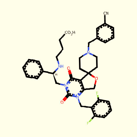 N#Cc1cccc(CN2CCC3(CC2)OCc2c3c(=O)n(C[C@H](NCCCC(=O)O)c3ccccc3)c(=O)n2Cc2c(F)cccc2F)c1